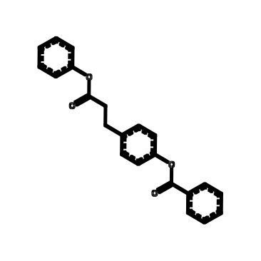 O=C(CCc1ccc(OC(=O)c2ccccc2)cc1)Oc1ccccc1